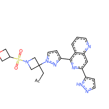 CC(=O)CC1(n2ccc(-c3nc(-c4ccn[nH]4)cc4ncccc34)n2)CN(S(=O)(=O)C2COC2)C1